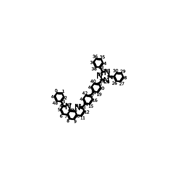 c1ccc(-c2ccc3ccc4ccc(-c5ccc(-c6ccc(-c7nc(-c8ccccc8)nc(-c8ccccc8)n7)cc6)cc5)nc4c3n2)cc1